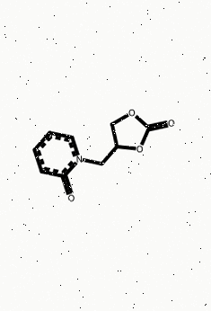 O=C1OCC(Cn2ccccc2=O)O1